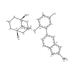 Cc1cc(-c2ccn3nc(N)cc3c2)c(O[C@H]2C[C@H]3COC[C@@H](C2)N3C(=O)O)cn1